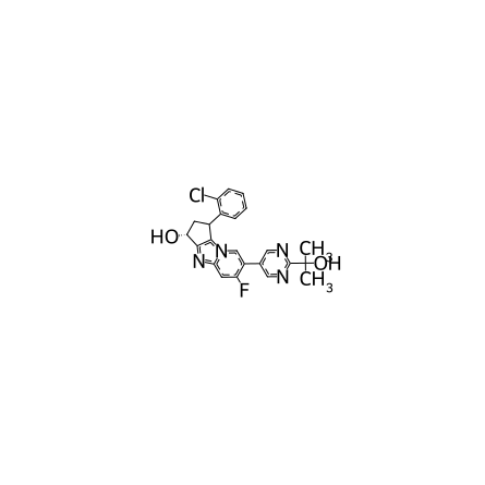 CC(C)(O)c1ncc(-c2cn3c4c(nc3cc2F)[C@H](O)CC4c2ccccc2Cl)cn1